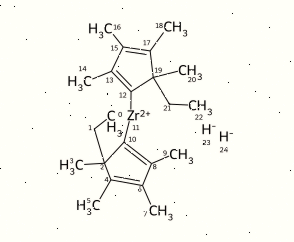 CCC1(C)C(C)=C(C)C(C)=[C]1[Zr+2][C]1=C(C)C(C)=C(C)C1(C)CC.[H-].[H-]